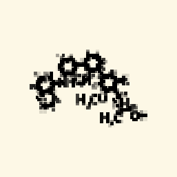 COc1cc(-c2cccc(-c3cccc(Nc4nccc5nccnc45)c3C)c2C)cc(F)c1CN[C@H](C)CO